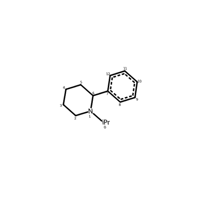 CC(C)N1CCCCC1c1ccccc1